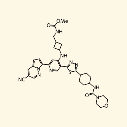 COC(=O)NCC1CC(Nc2cc(-c3ccc4cc(C#N)cnn34)ncc2-c2nnc(C3CCC(NC(=O)N4CCOCC4)CC3)s2)C1